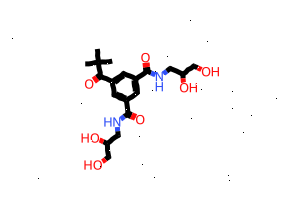 CC(C)(C)C(=O)c1cc(C(=O)NCC(O)CO)cc(C(=O)NCC(O)CO)c1